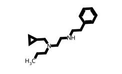 CCCN(CCNCCc1ccccc1)CC1CC1